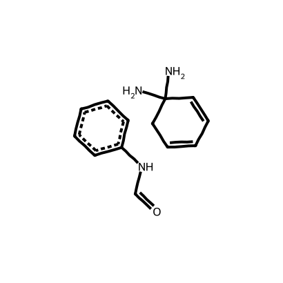 NC1(N)C=CC=CC1.O=CNc1ccccc1